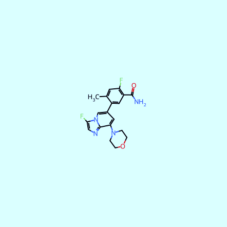 Cc1cc(F)c(C(N)=O)cc1-c1cc(N2CCOCC2)c2ncc(F)n2c1